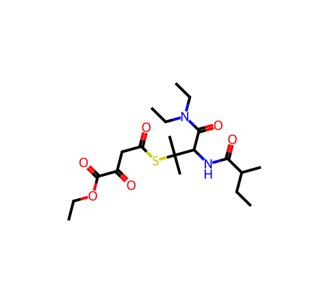 CCOC(=O)C(=O)CC(=O)SC(C)(C)C(NC(=O)C(C)CC)C(=O)N(CC)CC